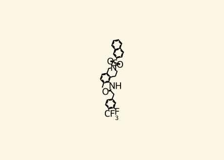 Cc1ccc2c(c1NC(=O)Cc1ccc(C(F)(F)F)c(F)c1)CCN(S(=O)(=O)c1ccc3ccccc3c1)C2